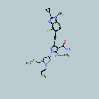 CC=CN1C[C@@H](n2nc(C#Cc3ccc4c(nc(C5CC5)n4C)c3F)c(C(N)=O)c2NC)C[C@@H]1COC